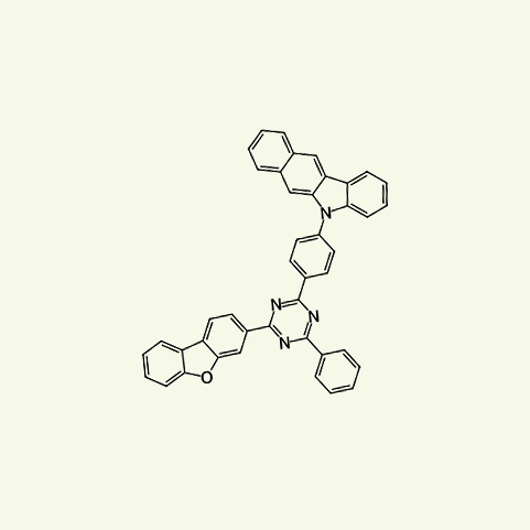 c1ccc(-c2nc(-c3ccc(-n4c5ccccc5c5cc6ccccc6cc54)cc3)nc(-c3ccc4c(c3)oc3ccccc34)n2)cc1